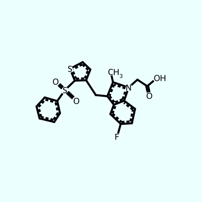 Cc1c(Cc2ccsc2S(=O)(=O)c2ccccc2)c2cc(F)ccc2n1CC(=O)O